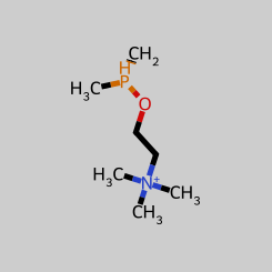 C=[PH](C)OCC[N+](C)(C)C